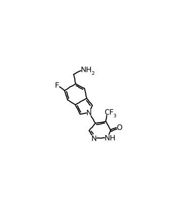 NCc1cc2cn(-c3cn[nH]c(=O)c3C(F)(F)F)cc2cc1F